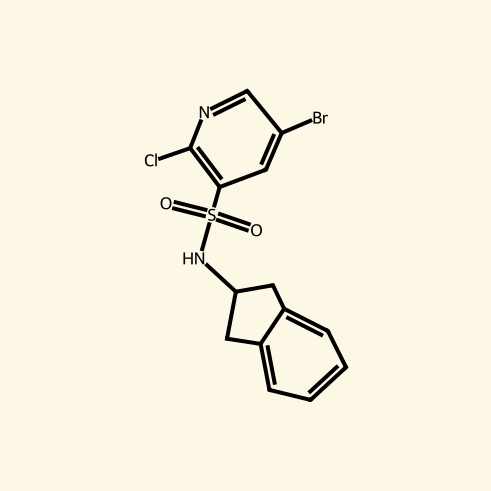 O=S(=O)(NC1Cc2ccccc2C1)c1cc(Br)cnc1Cl